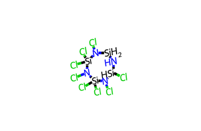 ClN1[SiH2]N[SiH](Cl)N(Cl)[Si](Cl)(Cl)N(Cl)[Si]1(Cl)Cl